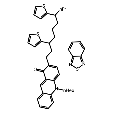 CCCCCCn1c2ccc(CCC(CCCC(CCC)c3cccs3)c3cccs3)c(=O)c-2cc2ccccc21.c1ccc2nsnc2c1